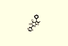 CC1=C(c2ccccc2)C2C(=O)NC(c3cnccn3)=NC2S1